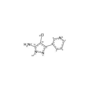 Cn1nc(-c2cccnc2)c(Cl)c1N